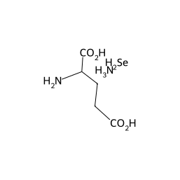 N.NC(CCC(=O)O)C(=O)O.[SeH2]